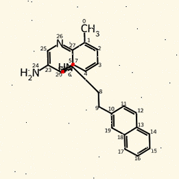 CC1=CC=CC23NC(CCc4ccc5ccccc5c4)=CC=C2C(N)=CN=C13